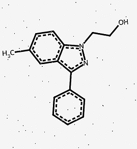 Cc1ccc2c(c1)c(-c1ccccc1)nn2CCO